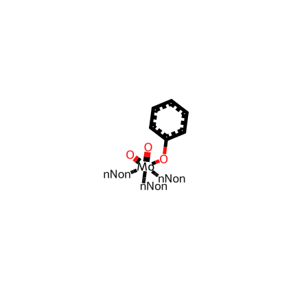 CCCCCCCC[CH2][Mo](=[O])(=[O])([CH2]CCCCCCCC)([CH2]CCCCCCCC)[O]c1ccccc1